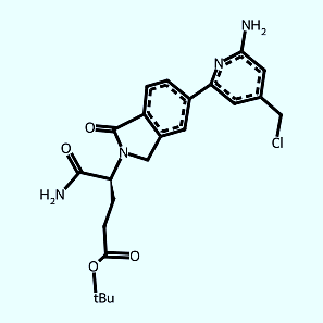 CC(C)(C)OC(=O)CC[C@@H](C(N)=O)N1Cc2cc(-c3cc(CCl)cc(N)n3)ccc2C1=O